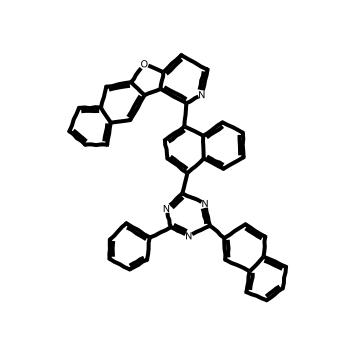 c1ccc(-c2nc(-c3ccc4ccccc4c3)nc(-c3ccc(-c4nccc5oc6cc7ccccc7cc6c45)c4ccccc34)n2)cc1